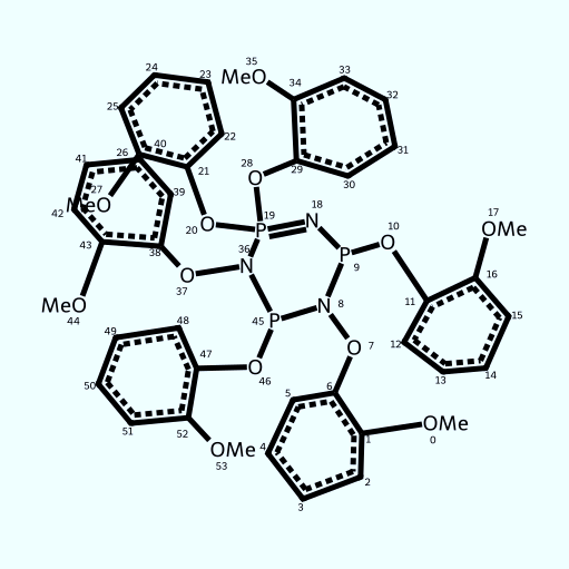 COc1ccccc1ON1P(Oc2ccccc2OC)N=P(Oc2ccccc2OC)(Oc2ccccc2OC)N(Oc2ccccc2OC)P1Oc1ccccc1OC